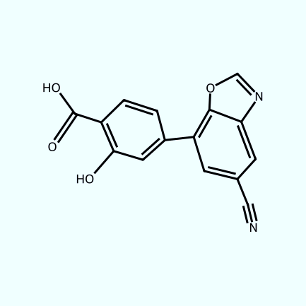 N#Cc1cc(-c2ccc(C(=O)O)c(O)c2)c2ocnc2c1